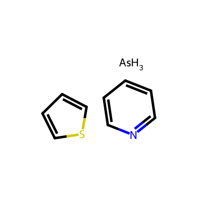 [AsH3].c1ccncc1.c1ccsc1